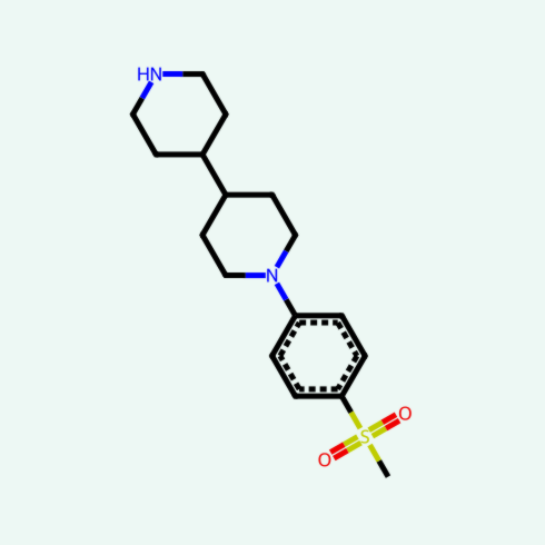 CS(=O)(=O)c1ccc(N2CCC(C3CCNCC3)CC2)cc1